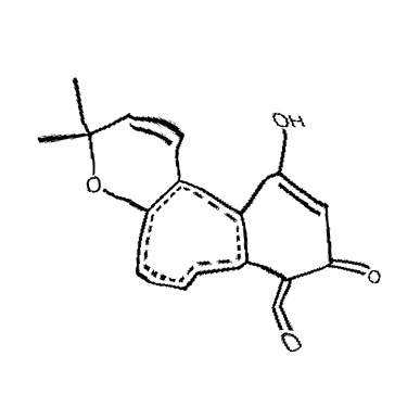 CC1(C)C=Cc2c(ccc3c2C(O)=CC(=O)C3=O)O1